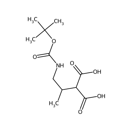 CC(CNC(=O)OC(C)(C)C)C(C(=O)O)C(=O)O